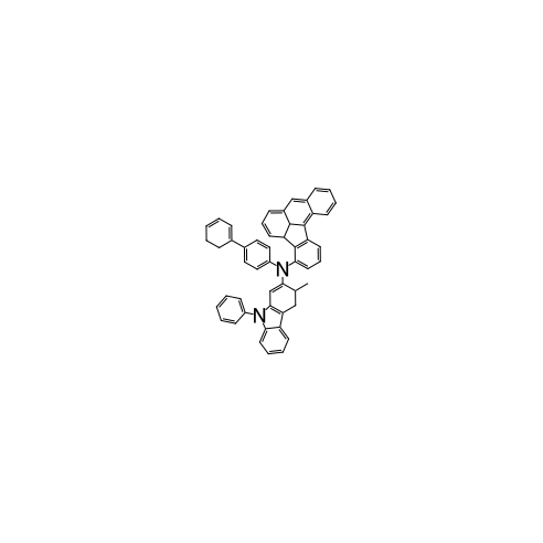 CC1Cc2c(n(-c3ccccc3)c3ccccc23)C=C1N(c1ccc(C2=CC=CCC2)cc1)c1cccc2c1C1C=CC=C3C=c4ccccc4=C2C31